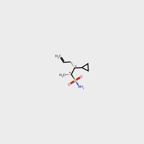 C=CC[C@H](C1CC1)[C@@H](C)S(N)(=O)=O